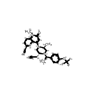 CC(c1ccc(OC(F)(F)F)cc1)N1C[C@H](C)N(c2cc(=O)n(C)c3ccc(C#N)nc23)C[C@H]1CC#N